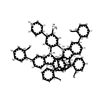 Cc1ccccc1-c1ccc2c3ccc(-c4ccccc4C)cc3n(-c3cc(C#N)c(-c4ccncc4)cc3-n3c4cc(-c5ccccc5C)ccc4c4ccc(-c5ccccc5C)cc43)c2c1